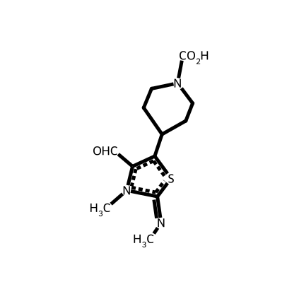 CN=c1sc(C2CCN(C(=O)O)CC2)c(C=O)n1C